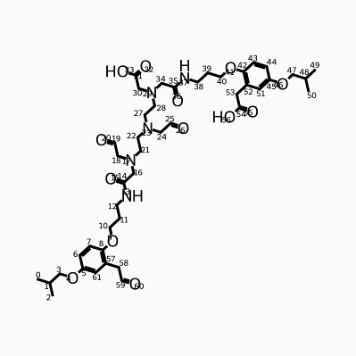 CC(C)COc1ccc(OCCCNC(=O)CN(CC=O)CCN(CC=O)CCN(CC(=O)O)CC(=O)NCCCOc2ccc(OCC(C)C)cc2CC(=O)O)c(CC=O)c1